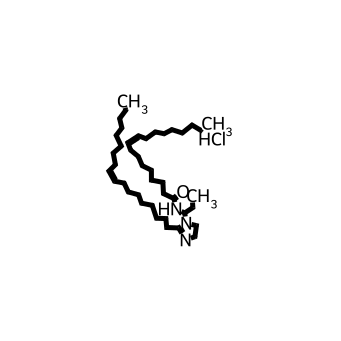 CCCCCCCC/C=C\CCCCCCCCC1=NCCN1C(CC)NC(=O)CCCCCCC/C=C\CCCCCCCC.Cl